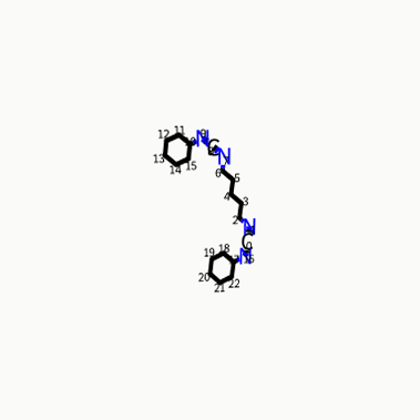 C(=NCCCCCN=C=NC1CCCCC1)=NC1CCCCC1